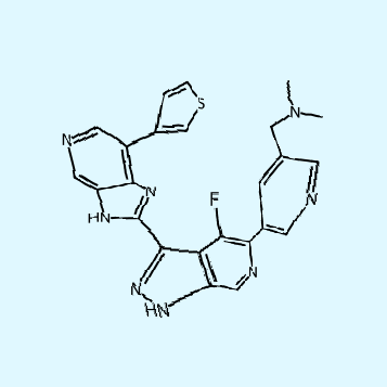 CN(C)Cc1cncc(-c2ncc3[nH]nc(-c4nc5c(-c6ccsc6)cncc5[nH]4)c3c2F)c1